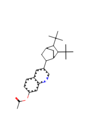 CC(=O)Oc1ccc2cc(C3CC4CC3C(C(C)(C)C)C4C(C)(C)C)cnc2c1